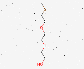 CSCCOCCOCCO